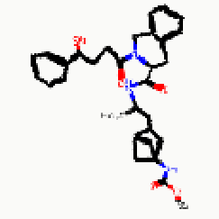 CC(C)(C)OC(=O)NC12CC(CC(NC(=O)[C@@H]3Cc4ccccc4CN3C(=O)CCC(O)c3ccccc3)C(=O)O)C(C1)C2